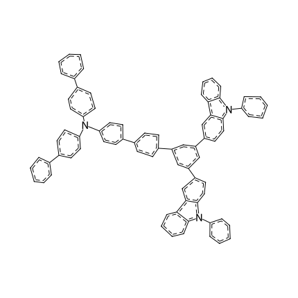 c1ccc(-c2ccc(N(c3ccc(-c4ccccc4)cc3)c3ccc(-c4ccc(-c5cc(-c6ccc7c(c6)c6ccccc6n7-c6ccccc6)cc(-c6ccc7c(c6)c6ccccc6n7-c6ccccc6)c5)cc4)cc3)cc2)cc1